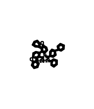 N=C(/N=C(\Nc1ccccc1)c1ccc(-c2ccccc2)cc1)c1c(-c2cccc3oc4ccccc4c23)ccc2oc3ccccc3c12